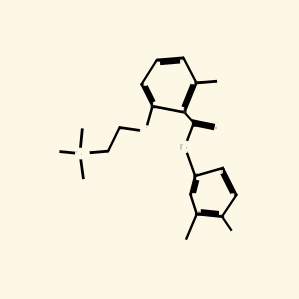 Cc1cc(NC(=O)c2c(C)cccc2OCC[N+](C)(C)C)ccc1Cl